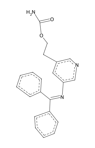 NC(=O)OCCc1cncc(N=C(c2ccccc2)c2ccccc2)c1